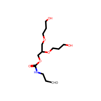 O=CCCNC(=O)OCC(COCCCO)OCCCO